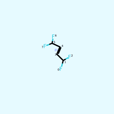 FC(F)/C=C/C(F)F